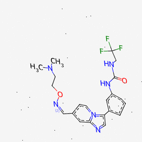 CN(C)CCO/N=C\c1ccn2c(-c3cccc(NC(=O)NCC(F)(F)F)c3)cnc2c1